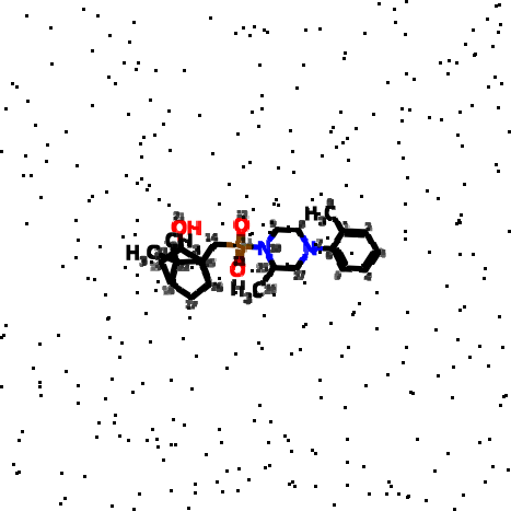 Cc1ccccc1N1CCN(S(=O)(=O)CC23CCC(CC2O)C3(C)C)C(C)C1